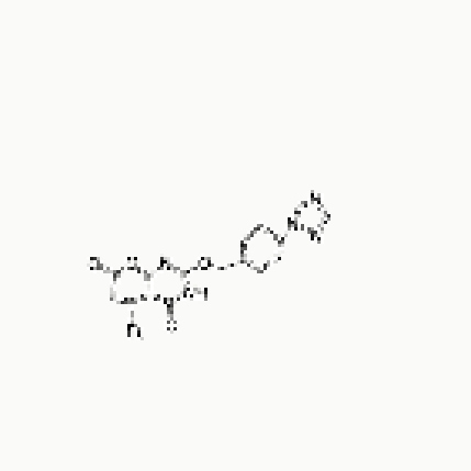 CCc1cc(=O)oc2nc(OCc3ccc(-n4cncn4)cc3)[nH]c(=O)c12